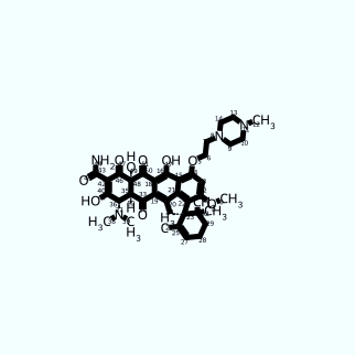 COc1cc(OCCN2CCN(C)CC2)c2c(O)c3c(c4c2c1[C@]1(C4)C(C)=CCCC1(C)C)C(=O)[C@H]1[C@H](N(C)C)C(O)=C(C(N)=O)C(=O)[C@@]1(O)C3=O